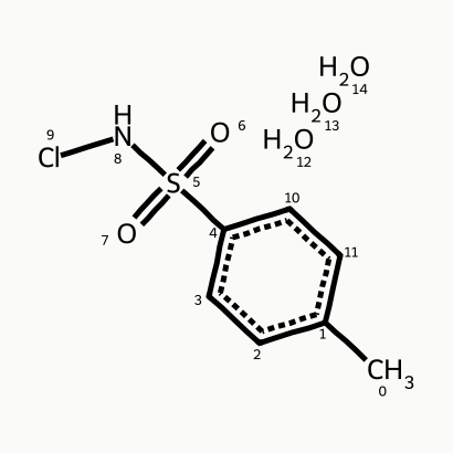 Cc1ccc(S(=O)(=O)NCl)cc1.O.O.O